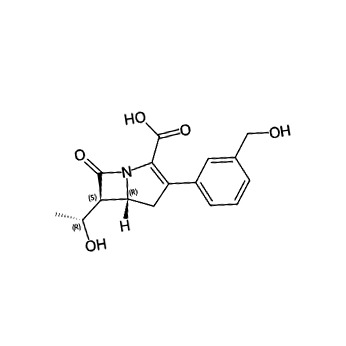 C[C@@H](O)[C@H]1C(=O)N2C(C(=O)O)=C(c3cccc(CO)c3)C[C@H]12